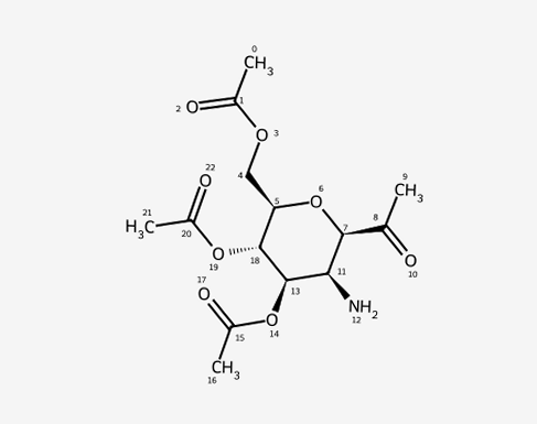 CC(=O)OC[C@H]1O[C@@H](C(C)=O)[C@@H](N)[C@@H](OC(C)=O)[C@@H]1OC(C)=O